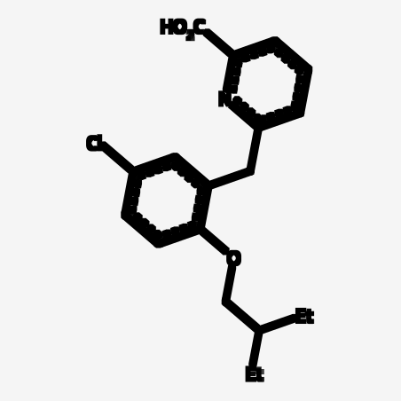 CCC(CC)COc1ccc(Cl)cc1Cc1cccc(C(=O)O)n1